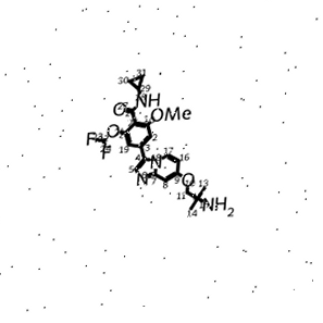 COc1cc(-c2cnc3cc(OCC(C)(C)N)ccn23)cc(OC(F)F)c1C(=O)NC1CC1